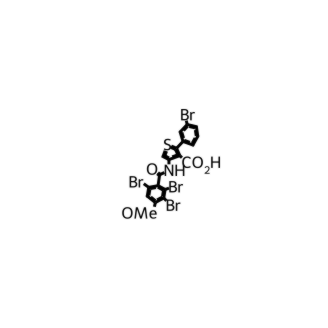 COc1cc(Br)c(C(=O)Nc2csc(-c3cccc(Br)c3)c2C(=O)O)c(Br)c1Br